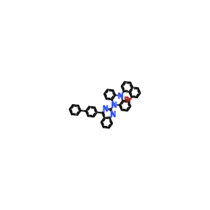 Brc1cccc2cccc(N3c4ccccc4N(c4nc(-c5ccc(-c6ccccc6)cc5)c5ccccc5n4)c4ccccc43)c12